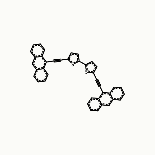 C(#Cc1c2ccccc2cc2ccccc12)c1ccc(-c2ccc(C#Cc3c4ccccc4cc4ccccc34)s2)s1